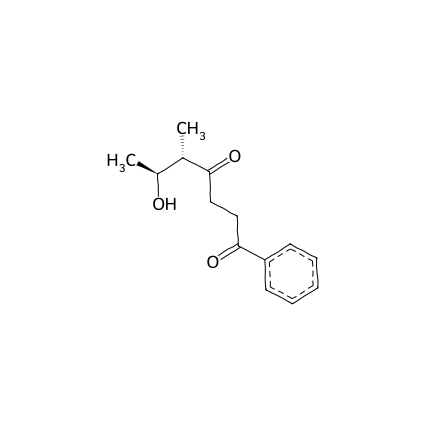 C[C@H](O)[C@H](C)C(=O)CCC(=O)c1ccccc1